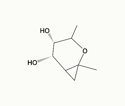 CC1OC2(C)CC2[C@H](O)[C@@H]1O